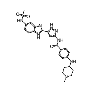 CN1CCC(Nc2ccc(C(=O)Nc3cc(-c4nc5cc(NS(C)(=O)=O)ccc5[nH]4)[nH]n3)cc2)CC1